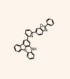 c1ccc(-c2nc3ccc(-c4cccc(-c5cc6c7c(c5)c5ccccc5n7-c5ccccc5N6)n4)cc3o2)cc1